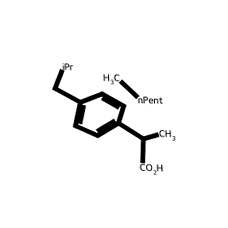 CC(C)Cc1ccc(C(C)C(=O)O)cc1.CCCCCC